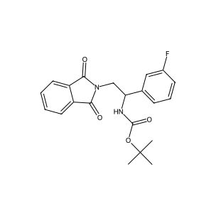 CC(C)(C)OC(=O)NC(CN1C(=O)c2ccccc2C1=O)c1cccc(F)c1